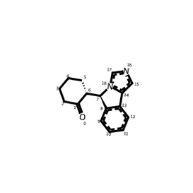 O=C1CCCC[C@@H]1[C@@H]1c2ccccc2-c2cncn21